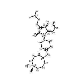 CN(C)CCn1c(=O)n(C2CCN(CC3CCCC(F)(F)CCC3)CC2)c2ccccc21